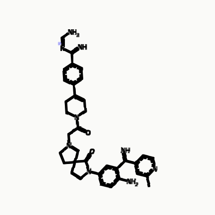 Cc1cc(C(=N)c2cc(N3CCC4(CCN(CC(=O)N5CC=C(c6ccc(C(=N)/N=C\N)cc6)CC5)C4)C3=O)ccc2N)ccn1